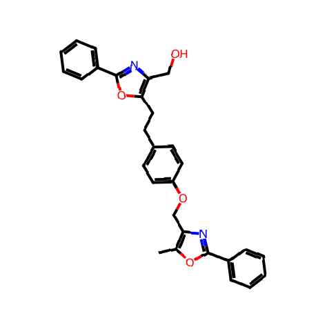 Cc1oc(-c2ccccc2)nc1COc1ccc(CCc2oc(-c3ccccc3)nc2CO)cc1